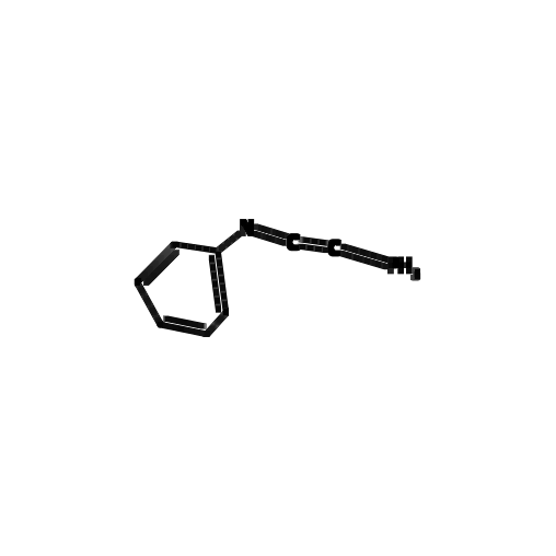 [PH3]=C=C=Nc1ccccc1